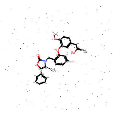 Bc1ccc(CN2C(=O)O[C@H](c3ccccc3)[C@@H]2C)c(Oc2cc(CC(=C)O)ccc2OC)c1